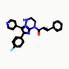 O=C(/C=C/c1ccccc1)N1CCNn2c1nc(-c1ccc(F)cc1)c2-c1ccncc1